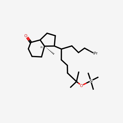 CC(C)CCCC(CCCC(C)(C)O[Si](C)(C)C)C1CCC2C(=O)CCC[C@@]21C